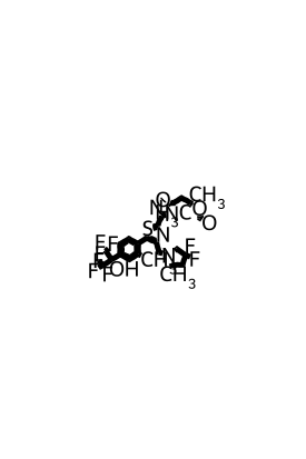 Cc1cc(C(O)(C(F)(F)F)C(F)(F)F)ccc1-c1sc(-c2noc(CC(C)(C)OC=O)n2)nc1CN1CC(F)(F)C[C@@H]1C